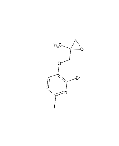 CC1(COc2ccc(I)nc2Br)CO1